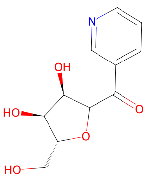 O=C(c1cccnc1)C1O[C@H](CO)[C@@H](O)[C@H]1O